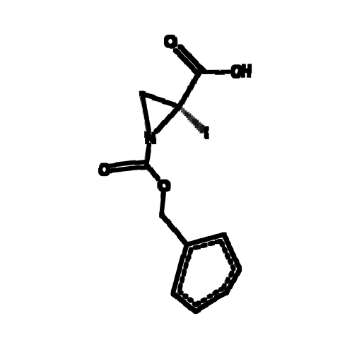 O=C(OCc1ccccc1)N1C[C@@]1(I)C(=O)O